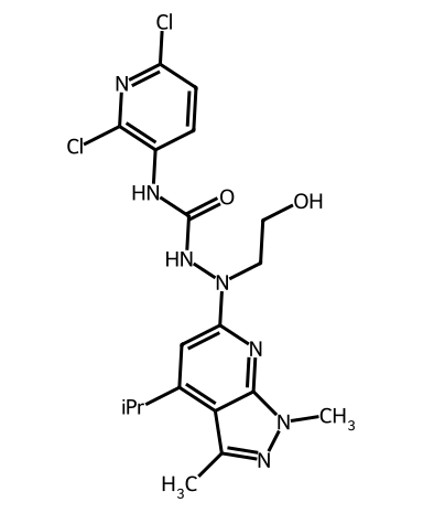 Cc1nn(C)c2nc(N(CCO)NC(=O)Nc3ccc(Cl)nc3Cl)cc(C(C)C)c12